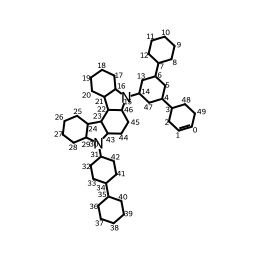 C1=CCC(C2CC(C3CCCCC3)CC(N3C4CCCCC4C4C5C6CCCCC6N(C6CCC(C7CCCCC7)CC6)C5CCC43)C2)CC1